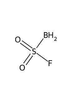 BS(=O)(=O)F